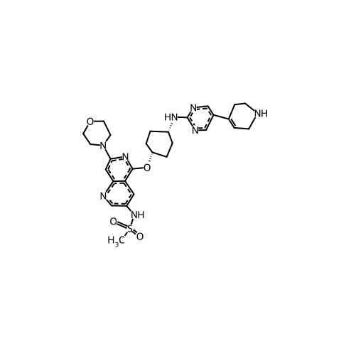 CS(=O)(=O)Nc1cnc2cc(N3CCOCC3)nc(O[C@H]3CC[C@@H](Nc4ncc(C5=CCNCC5)cn4)CC3)c2c1